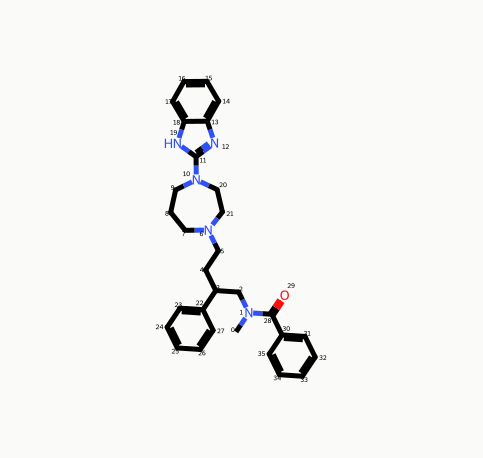 CN(CC(CCN1CCCN(c2nc3ccccc3[nH]2)CC1)c1ccccc1)C(=O)c1ccccc1